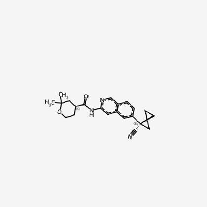 CC1(C)C[C@@H](C(=O)Nc2cc3cc([C@]4(C#N)CC45CC5)ccc3cn2)CCO1